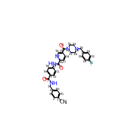 N#Cc1ccc(CNC(=O)c2ccc(NC(=O)c3ccc(C(=O)N4CCN(Cc5ccc(F)cc5)CC4)cn3)cc2)cc1